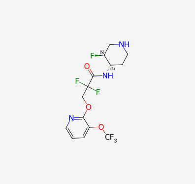 O=C(N[C@H]1CCNC[C@@H]1F)C(F)(F)COc1ncccc1OC(F)(F)F